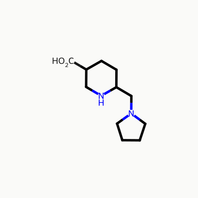 O=C(O)C1CCC(CN2CCCC2)NC1